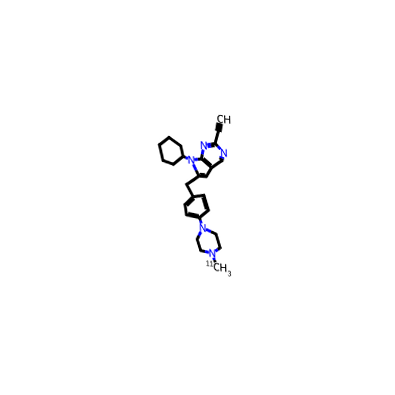 C#Cc1ncc2cc(Cc3ccc(N4CCN([11CH3])CC4)cc3)n(C3CCCCC3)c2n1